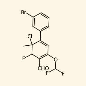 CC1(Cl)C(c2cccc(Br)c2)=CC(OC(F)F)=C(C=O)C1F